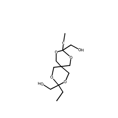 CCC1(CO)OCC2(CO1)COC(CC)(CO)OC2